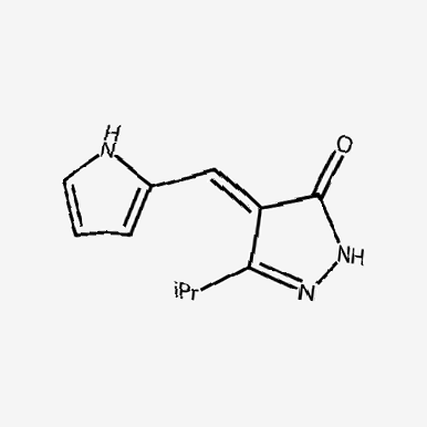 CC(C)C1=NNC(=O)/C1=C/c1ccc[nH]1